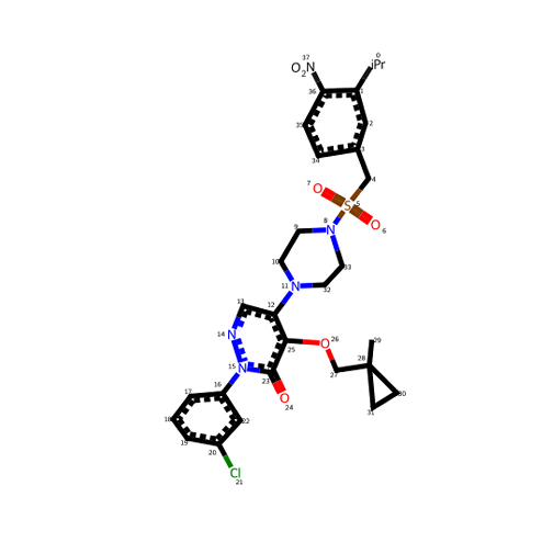 CC(C)c1cc(CS(=O)(=O)N2CCN(c3cnn(-c4cccc(Cl)c4)c(=O)c3OCC3(C)CC3)CC2)ccc1[N+](=O)[O-]